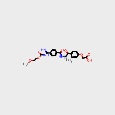 COCCOC(=O)NC(=N)c1ccc(C(=O)N[C@@H](C)C(=O)c2ccc(OCC(=O)O)cc2)cc1